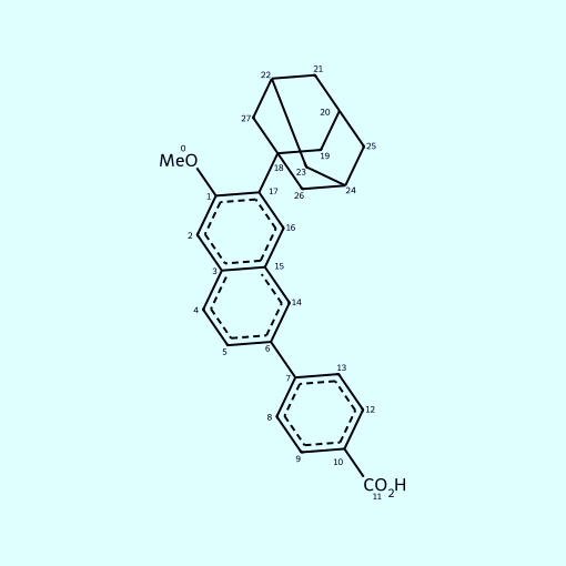 COc1cc2ccc(-c3ccc(C(=O)O)cc3)cc2cc1C12CC3CC(CC(C3)C1)C2